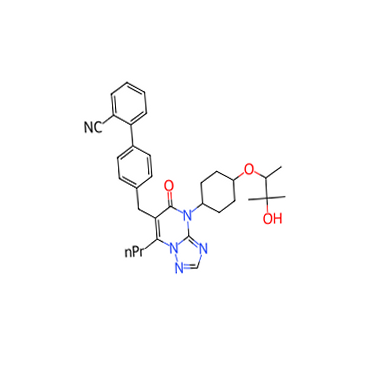 CCCc1c(Cc2ccc(-c3ccccc3C#N)cc2)c(=O)n(C2CCC(OC(C)C(C)(C)O)CC2)c2ncnn12